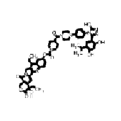 CCc1c2c(nc3ccc(OC(=O)N4CCC(C(=O)N5CCN(c6ccc(-n7c(O)nnc7-c7cc(C(C)C)c(O)cc7O)cc6)CC5)CC4)cc13)-c1cc3c(c(=O)n1C2)COC(=O)C3(O)CC